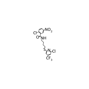 O=C(NCCCCSc1cc(C(F)(F)F)cc(Cl)n1)c1cc([N+](=O)[O-])ccc1Cl